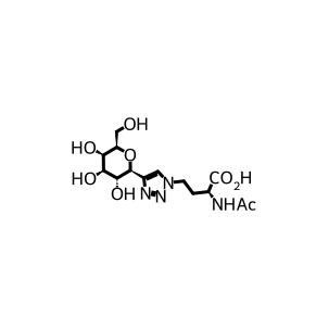 CC(=O)N[C@@H](CCn1cc([C@@H]2O[C@H](CO)[C@H](O)[C@H](O)[C@H]2O)nn1)C(=O)O